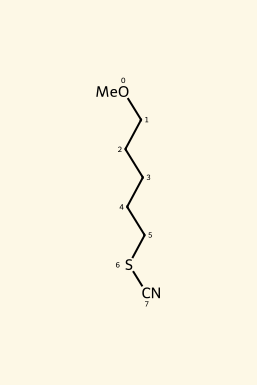 COCCCCCSC#N